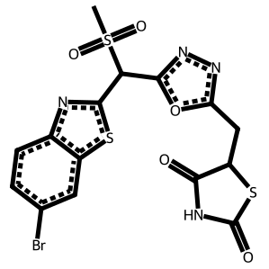 CS(=O)(=O)C(c1nnc(CC2SC(=O)NC2=O)o1)c1nc2ccc(Br)cc2s1